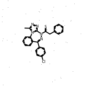 Cc1nnc2n1-c1ccccc1C(c1ccc(Cl)cc1)=NN2C(=S)Cc1ccccc1